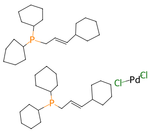 C(=CC1CCCCC1)CP(C1CCCCC1)C1CCCCC1.C(=CC1CCCCC1)CP(C1CCCCC1)C1CCCCC1.[Cl][Pd][Cl]